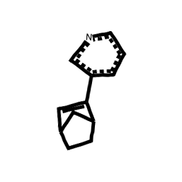 C1=C(c2cccnc2)C2CCC1C2